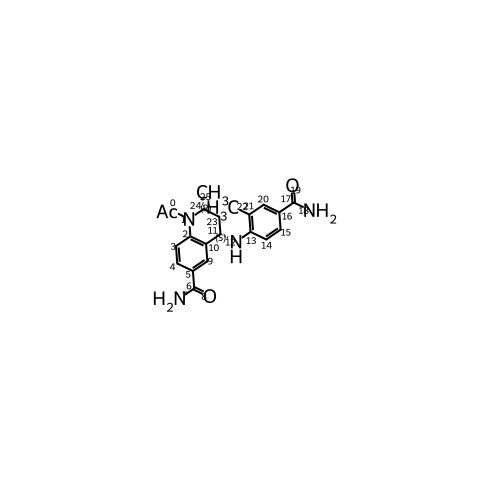 CC(=O)N1c2ccc(C(N)=O)cc2[C@@H](Nc2ccc(C(N)=O)cc2C)C[C@H]1C